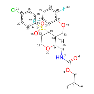 CC(C)COC(=O)NC[C@@H]1OCC[C@@]2(S(=O)(=O)c3ccc(Cl)cc3)c3c(F)ccc(F)c3OC[C@@H]12